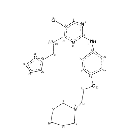 Clc1cnc(Nc2ccc(OCCN3CCCCC3)cc2)nc1NCc1ccco1